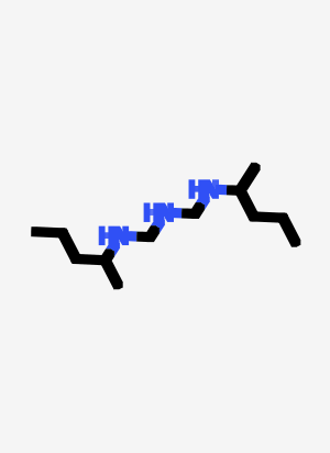 CCCC(C)NCNCNC(C)CCC